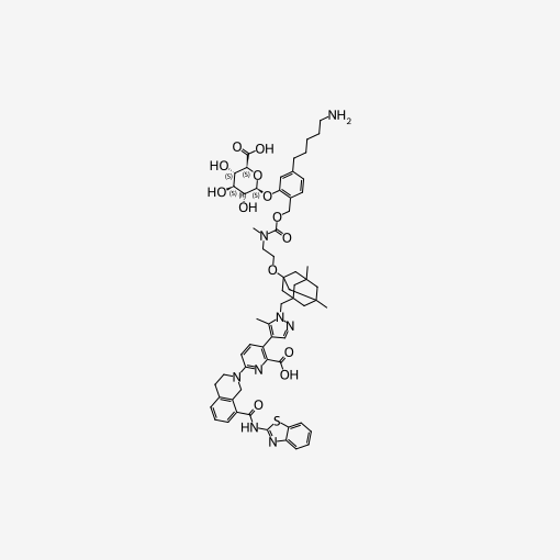 Cc1c(-c2ccc(N3CCc4cccc(C(=O)Nc5nc6ccccc6s5)c4C3)nc2C(=O)O)cnn1CC12CC3(C)CC(C)(C1)CC(OCCN(C)C(=O)OCc1ccc(CCCCCN)cc1O[C@@H]1O[C@H](C(=O)O)[C@@H](O)[C@H](O)[C@H]1O)(C3)C2